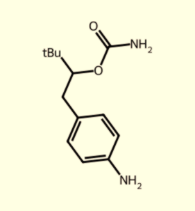 CC(C)(C)C(Cc1ccc(N)cc1)OC(N)=O